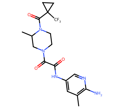 Cc1cc(NC(=O)C(=O)N2CCN(C(=O)C3(C(F)(F)F)CC3)C(C)C2)cnc1N